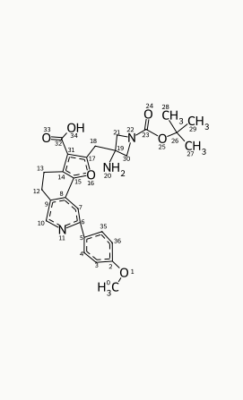 COc1ccc(-c2cc3c(cn2)CCc2c-3oc(CC3(N)CN(C(=O)OC(C)(C)C)C3)c2C(=O)O)cc1